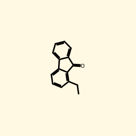 CCc1cccc2c1C(=O)c1ccccc1-2